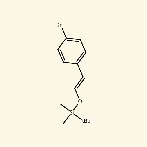 CC(C)(C)[Si](C)(C)OC=Cc1ccc(Br)cc1